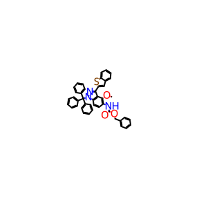 COc1c(NC(=O)OCc2ccccc2)ccc2c1c(-c1cc3ccccc3s1)nn2C(c1ccccc1)(c1ccccc1)c1ccccc1